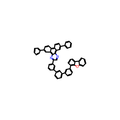 c1ccc(-c2ccc3c4ccc(-c5ccccc5)cc4c4nc(-c5cccc(-c6cccc(-c7cccc(-c8cccc9c8oc8ccccc89)c7)c6)c5)cnc4c3c2)cc1